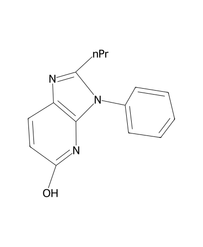 CCCc1nc2ccc(O)nc2n1-c1ccccc1